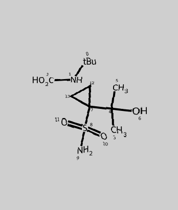 CC(C)(C)NC(=O)O.CC(C)(O)C1(S(N)(=O)=O)CC1